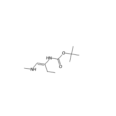 CC/C(=C\NC)NC(=O)OC(C)(C)C